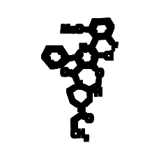 C=CC(=O)N1CCN2C(=O)c3c(-c4ccccc4)nc(-c4c(F)cccc4OC)c(Cl)c3OC[C@H]2C1